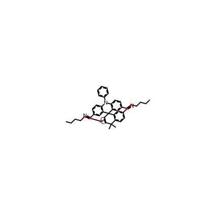 CCCCCCc1ccc2c(c1)C1(c3cc(CCCCCC)ccc3N2c2ccccc2)c2cc(C#N)ccc2C(C)(C)c2ccc(C#N)cc21